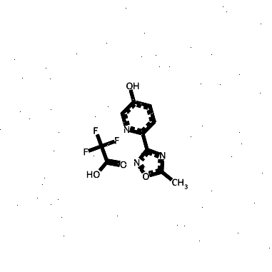 Cc1nc(-c2ccc(O)cn2)no1.O=C(O)C(F)(F)F